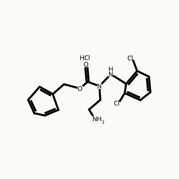 Cl.NCCN(Nc1c(Cl)cccc1Cl)C(=O)OCc1ccccc1